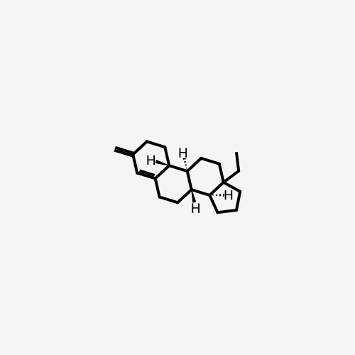 C=C1C=C2CC[C@@H]3[C@H](CCC4(CC)CCC[C@@H]34)[C@H]2CC1